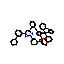 CC1(C)c2ccccc2C2(c3ccccc3-c3ccccc32)c2cc(-c3ccccc3-c3cc(-c4cccc(-c5ccccc5)c4)nc(-c4cccc(-c5ccccc5)c4)n3)ccc21